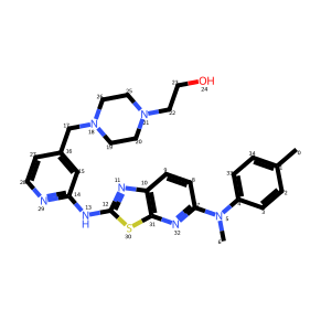 Cc1ccc(N(C)c2ccc3nc(Nc4cc(CN5CCN(CCO)CC5)ccn4)sc3n2)cc1